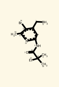 BCc1cc(NC(=O)C(C)(C)CC)nc(C)c1Br